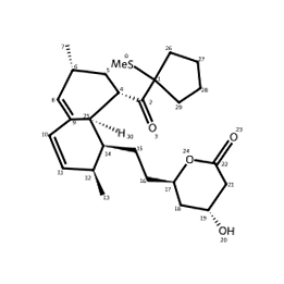 CSC1(C(=O)[C@H]2C[C@@H](C)C=C3C=C[C@H](C)[C@H](CC[C@@H]4C[C@@H](O)CC(=O)O4)[C@@H]32)CCCC1